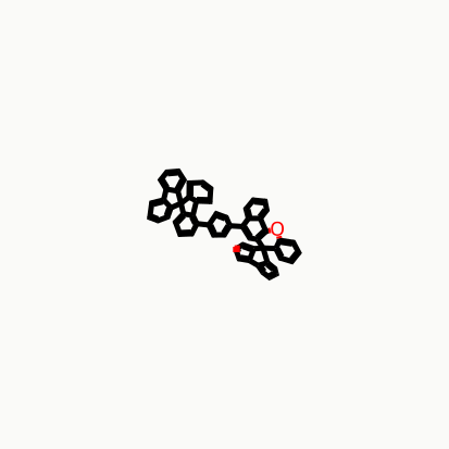 c1ccc2c(c1)Oc1c(cc(-c3ccc(-c4cccc5c4-c4ccccc4C54c5ccccc5-c5ccccc54)cc3)c3ccccc13)C21c2ccccc2-c2ccccc21